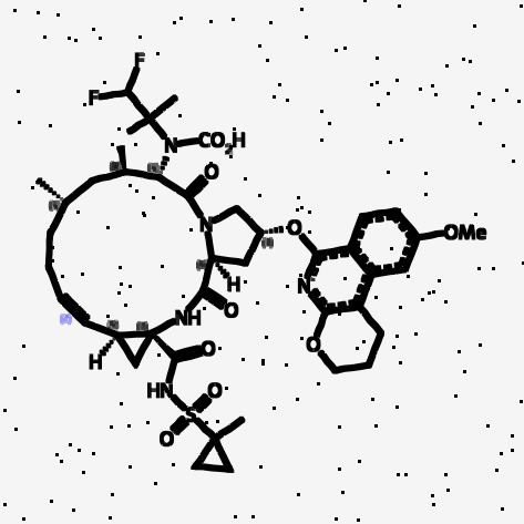 COc1ccc2c(O[C@@H]3C[C@H]4C(=O)N[C@]5(C(=O)NS(=O)(=O)C6(C)CC6)C[C@H]5/C=C\CC[C@H](C)C[C@@H](C)[C@H](N(C(=O)O)C(C)(C)C(F)F)C(=O)N4C3)nc3c(c2c1)CCCO3